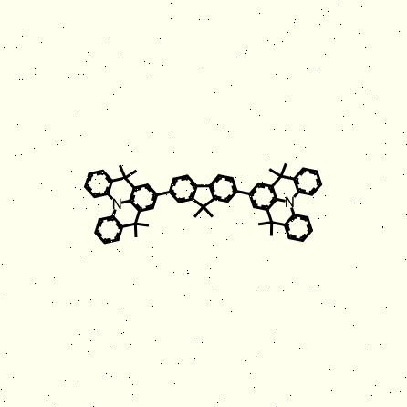 CC1(C)c2cc(-c3cc4c5c(c3)C(C)(C)c3ccccc3N5c3ccccc3C4(C)C)ccc2-c2ccc(-c3cc4c5c(c3)C(C)(C)c3ccccc3N5c3ccccc3C4(C)C)cc21